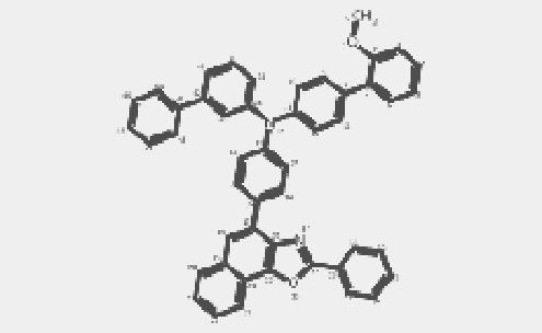 COc1ccccc1-c1ccc(N(c2ccc(-c3cc4ccccc4c4oc(-c5ccccc5)nc34)cc2)c2cccc(-c3ccccc3)c2)cc1